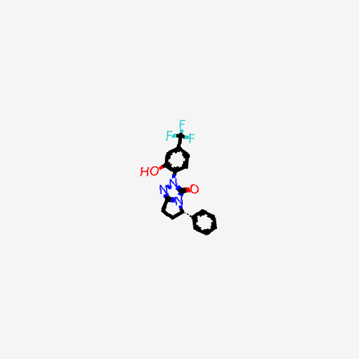 O=c1n(-c2ccc(C(F)(F)F)cc2O)nc2n1[C@H](c1ccccc1)CC2